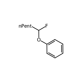 CCCCCC(F)Oc1ccccc1